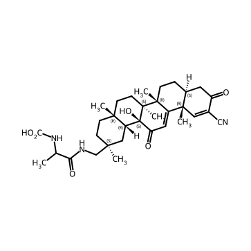 CC(NC(=O)O)C(=O)NC[C@@]1(C)CC[C@]2(C)CC[C@@]3(C)[C@]4(C)CC[C@H]5CC(=O)C(C#N)=C[C@]5(C)C4=CC(=O)[C@]3(O)[C@@H]2C1